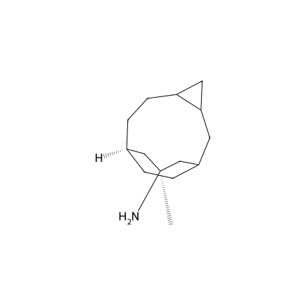 C[C@@]1(N)CC2CC[C@@H](CCC3CC3C2)C1